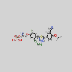 CC(C)Oc1ccc(-c2nnc(-c3cc(F)c(OC[C@H](N)COP(=O)(O)O)cc3Cl)s2)cc1C#N.Cl